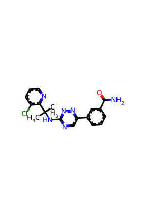 CC(C)(Nc1ncc(-c2cccc(C(N)=O)c2)nn1)c1ncccc1Cl